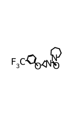 O=C(N1CCCCCC1)N1CC(Oc2cccc(C(F)(F)F)c2)C1